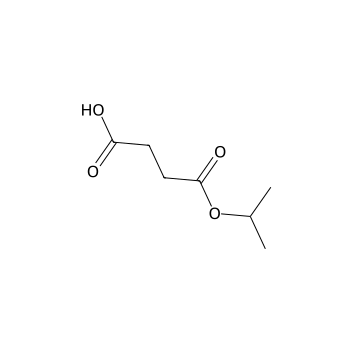 CC(C)OC(=O)CCC(=O)O